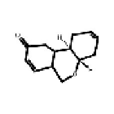 O=C1C=CC2CO[C@H]3CC=CC[C@@H]3C2C1